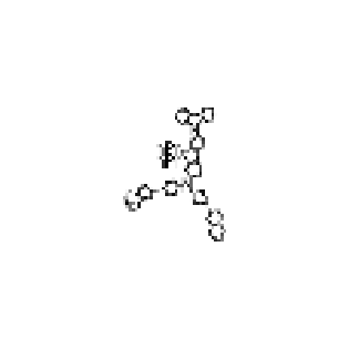 CCCC1(CCC)c2cc(N(c3ccc(-c4ccc5ccccc5c4)cc3)c3ccc(-c4ccc5ccccc5c4)cc3)ccc2-c2ccc(-n3c4ccccc4c4ccccc43)cc21